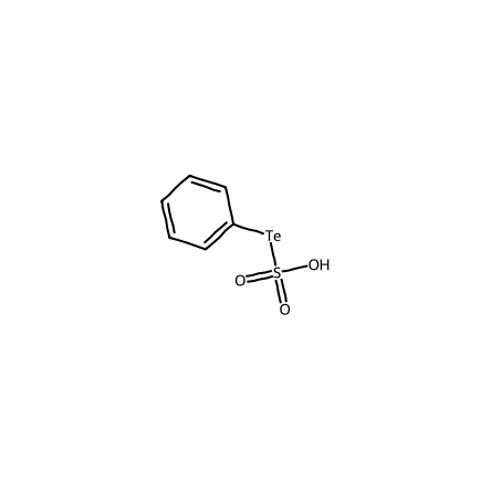 O=S(=O)(O)[Te]c1ccccc1